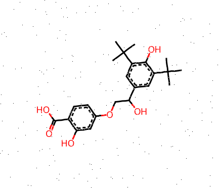 CC(C)(C)c1cc(C(O)COc2ccc(C(=O)O)c(O)c2)cc(C(C)(C)C)c1O